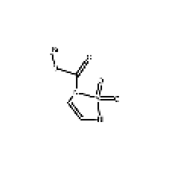 CC(C)(C)OC(=O)N1C=CNS1(=O)=O